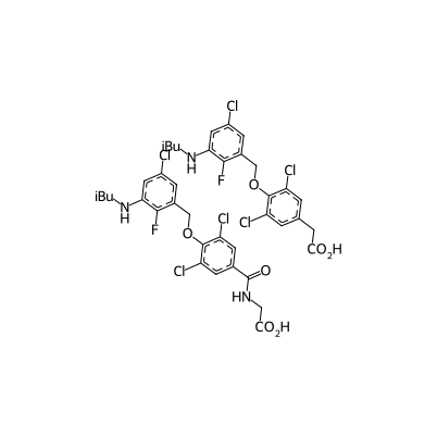 CCC(C)Nc1cc(Cl)cc(COc2c(Cl)cc(C(=O)NCC(=O)O)cc2Cl)c1F.CCC(C)Nc1cc(Cl)cc(COc2c(Cl)cc(CC(=O)O)cc2Cl)c1F